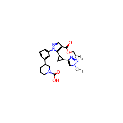 CCOC(=O)c1cnn(-c2cccc(C3CCCN(C(=O)O)C3)c2)c1[C@@H]1C[C@H]1c1cn(C)nn1